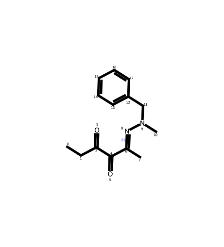 CCC(=O)C(=O)/C(C)=N/N(C)Cc1ccccc1